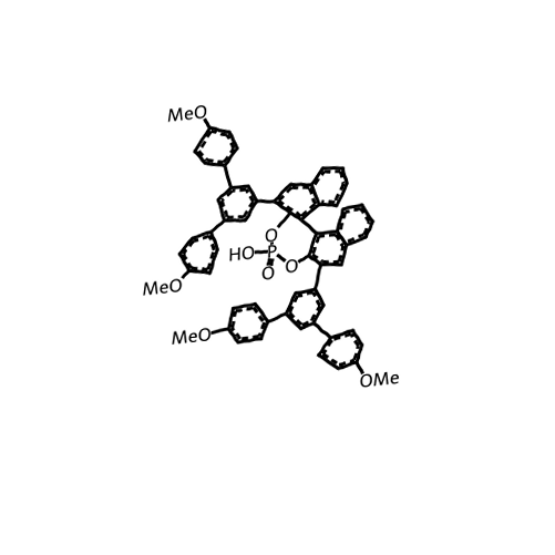 COc1ccc(-c2cc(-c3ccc(OC)cc3)cc(-c3cc4ccccc4c4c3OP(=O)(O)Oc3c(-c5cc(-c6ccc(OC)cc6)cc(-c6ccc(OC)cc6)c5)cc5ccccc5c3-4)c2)cc1